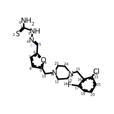 NC(=S)N/N=C/c1ccc(CN2CCN(Cc3c(F)cccc3Cl)CC2)o1